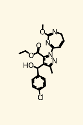 CCOC(=O)c1c(C(O)c2ccc(Cl)cc2)c(C)nn1C1=NC(OC)=NCC=C1